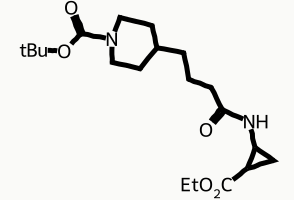 CCOC(=O)C1CC1NC(=O)CCCC1CCN(C(=O)OC(C)(C)C)CC1